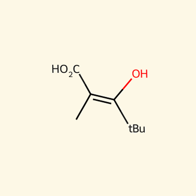 CC(C(=O)O)=C(O)C(C)(C)C